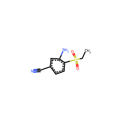 CCS(=O)(=O)c1ccc(C#N)cc1N